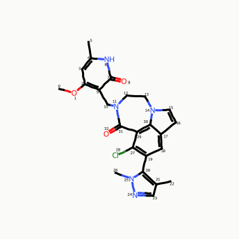 COc1cc(C)[nH]c(=O)c1CN1CCn2ccc3cc(-c4c(C)cnn4C)c(Cl)c(c32)C1=O